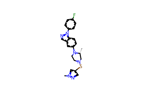 C[C@@H]1CN(Sc2cnn(C)c2)CCN1c1ccc2c(cnn2-c2ccc(F)cc2)c1